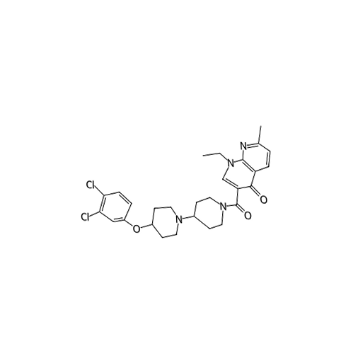 CCn1cc(C(=O)N2CCC(N3CCC(Oc4ccc(Cl)c(Cl)c4)CC3)CC2)c(=O)c2ccc(C)nc21